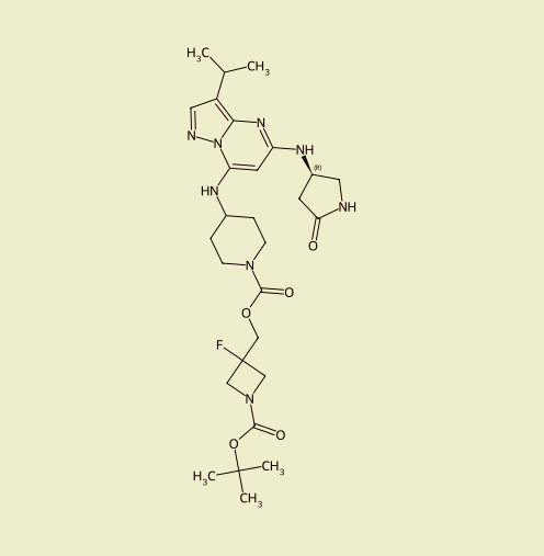 CC(C)c1cnn2c(NC3CCN(C(=O)OCC4(F)CN(C(=O)OC(C)(C)C)C4)CC3)cc(N[C@H]3CNC(=O)C3)nc12